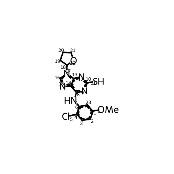 COc1ccc(Cl)c(Nc2nc(S)nc3c2ncn3C2CCCO2)c1